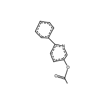 CC(=O)Oc1ccc(-c2ccccc2)nc1